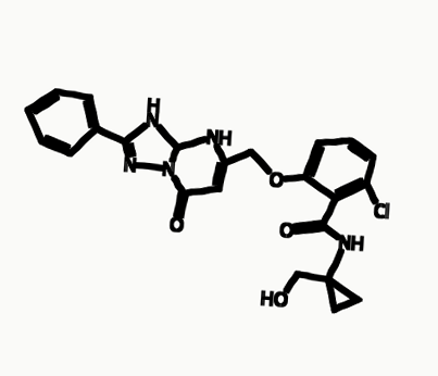 O=C(NC1(CO)CC1)c1c(Cl)cccc1OCC1=CC(=O)N2N=C(c3ccccc3)NC2N1